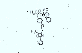 Cc1oc(-c2cccs2)nc1CCOc1ccc(CC(C)(OC2=COC(Cc3ccccc3)O2)C(=O)O)cc1